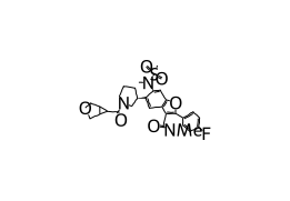 CNC(=O)c1c(-c2ccc(F)cc2)oc2cc(N(C)S(C)(=O)=O)c([C@@H]3CCCN(C(=O)C4C5COCC54)C3)cc12